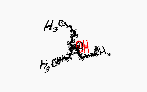 CCCCC/C=C\CCCC(CCC/C=C\CCCCC)C(O)CC/C=C\CCCCC